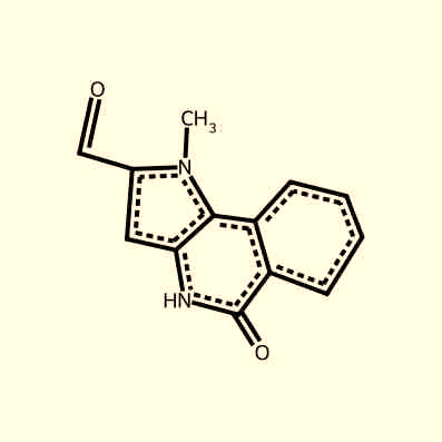 Cn1c(C=O)cc2[nH]c(=O)c3ccccc3c21